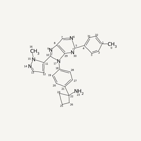 Cc1ccc(-c2ncc3nc(-c4ccnn4C)n(-c4ccc(C5(N)CCC5)cc4)c3n2)cc1